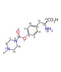 CN1CCN(C(=O)Oc2ccc(C[C@H](N)C(=O)O)cc2)CC1